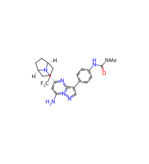 CNC(=O)Nc1ccc(-c2cnn3c(N)cc([C@@H]4C[C@H]5CC[C@@H](C4)N5CC(F)(F)F)nc23)cc1